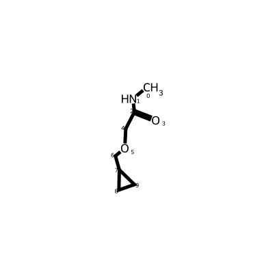 CNC(=O)COCC1CC1